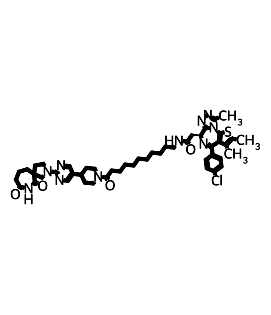 Cc1sc2c(c1C)C(c1ccc(Cl)cc1)=N[C@@H](CC(=O)NCCCCCCCCCCC(=O)N1CCC(c3cnc(N4CCC5(CCCC(=O)NC5=O)C4)nc3)CC1)c1nnc(C)n1-2